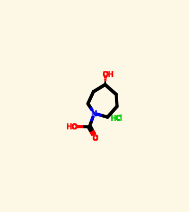 Cl.O=C(O)N1CCC[C@@H](O)CC1